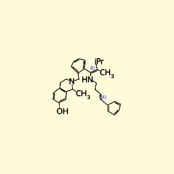 C/C(=C(\NCC/C=C/c1ccccc1)c1ccccc1CN1CCc2ccc(O)cc2C1C)C(C)C